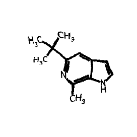 Cc1nc(C(C)(C)C)cc2cc[nH]c12